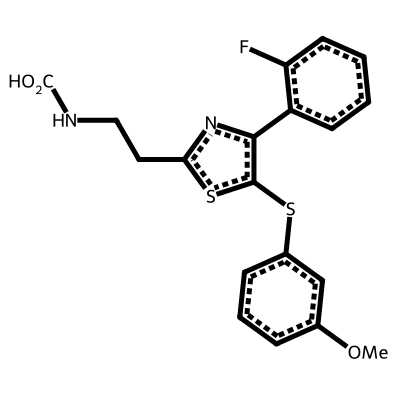 COc1cccc(Sc2sc(CCNC(=O)O)nc2-c2ccccc2F)c1